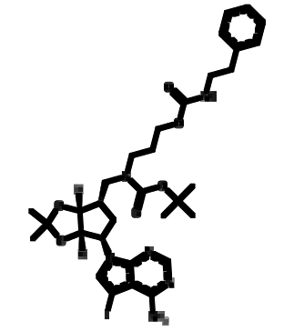 CC(C)(C)OC(=O)N(CCCOC(=O)NCCc1ccccc1)C[C@H]1C[C@@H](n2cc(I)c3c(N)ncnc32)[C@@H]2OC(C)(C)O[C@H]12